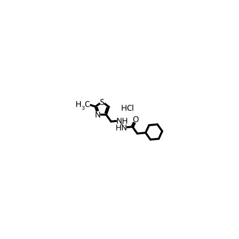 Cc1nc(CNNC(=O)CC2CCCCC2)cs1.Cl